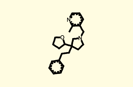 Cc1ncccc1CN1CCC(CCc2ccccc2)(C2CCCO2)C1